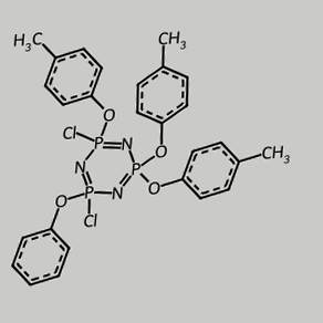 Cc1ccc(OP2(Cl)=NP(Oc3ccc(C)cc3)(Oc3ccc(C)cc3)=NP(Cl)(Oc3ccccc3)=N2)cc1